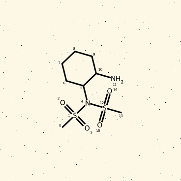 CS(=O)(=O)N(C1CCCCC1N)S(C)(=O)=O